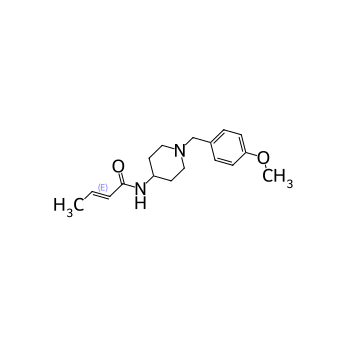 C/C=C/C(=O)NC1CCN(Cc2ccc(OC)cc2)CC1